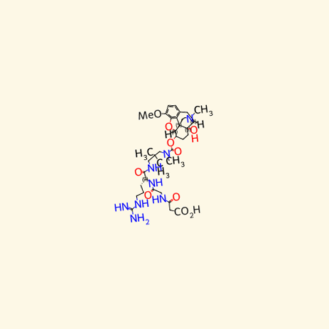 COc1ccc2c3c1O[C@H]1C(OC(=O)N(C)CC(C)(C)CNC(=O)[C@@H](CCCNC(=N)N)NC(=O)CNC(=O)CC(=O)O)CC[C@@]4(O)[C@@H](C2)N(C)CC[C@]314